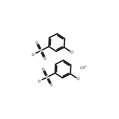 O=S(=O)([O-])c1cccc(Cl)c1.O=S(=O)([O-])c1cccc(Cl)c1.[Cd+2]